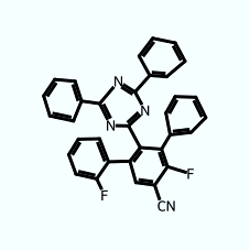 N#Cc1cc(-c2ccccc2F)c(-c2nc(-c3ccccc3)nc(-c3ccccc3)n2)c(-c2ccccc2)c1F